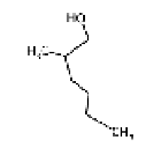 CCCCC(C)CO